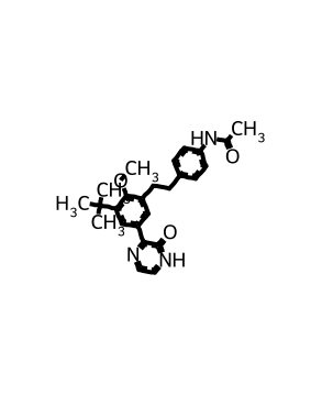 COc1c(CCc2ccc(NC(C)=O)cc2)cc(-c2ncc[nH]c2=O)cc1C(C)(C)C